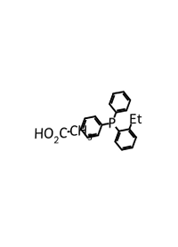 CC(=O)O.CCc1ccccc1P(c1ccccc1)c1ccccc1